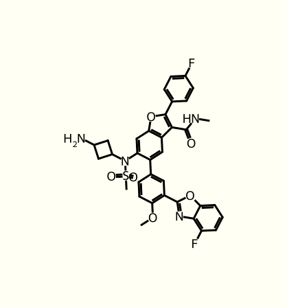 CNC(=O)c1c(-c2ccc(F)cc2)oc2cc(N(C3CC(N)C3)S(C)(=O)=O)c(-c3ccc(OC)c(-c4nc5c(F)cccc5o4)c3)cc12